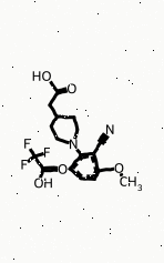 COc1cccc(N2CCC(CC(=O)O)CC2)c1C#N.O=C(O)C(F)(F)F